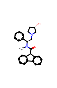 CN(C(=O)C1c2ccccc2-c2ccccc21)[C@H](CN1CC[C@H](O)C1)c1ccccc1